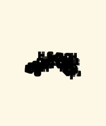 CC[C@H]1[C@@H](O)[C@@H]2[C@H](CC[C@]3(C)[C@@H]([C@H](C)CCNC(=O)NS(=O)(=O)c4cccs4)CC[C@@H]23)[C@@]2(C)CCC(F)(F)C[C@@H]12